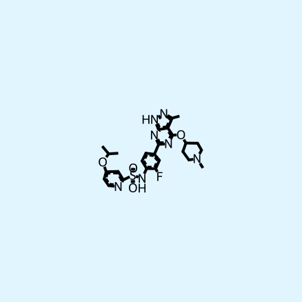 Cc1n[nH]c2nc(-c3ccc(NS(=O)(=O)c4cc(OC(C)C)ccn4)c(F)c3)nc(OC3CCN(C)CC3)c12